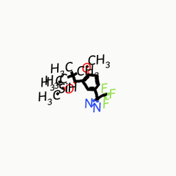 COc1ccc(C2(C(F)(F)F)N=N2)cc1C(O[SiH](C)C)C(C)(C)C